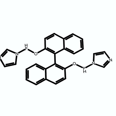 c1ccc2c(-c3c(OPn4ccnc4)ccc4ccccc34)c(OPn3ccnc3)ccc2c1